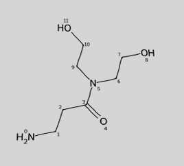 NCCC(=O)N(CCO)CCO